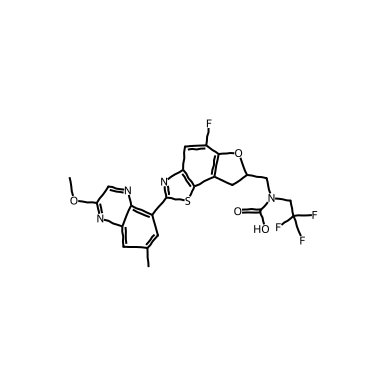 COc1cnc2c(-c3nc4cc(F)c5c(c4s3)CC(CN(CC(F)(F)F)C(=O)O)O5)cc(C)cc2n1